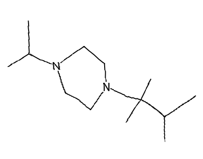 CC(C)N1CCN(C(C)(C)C(C)C)CC1